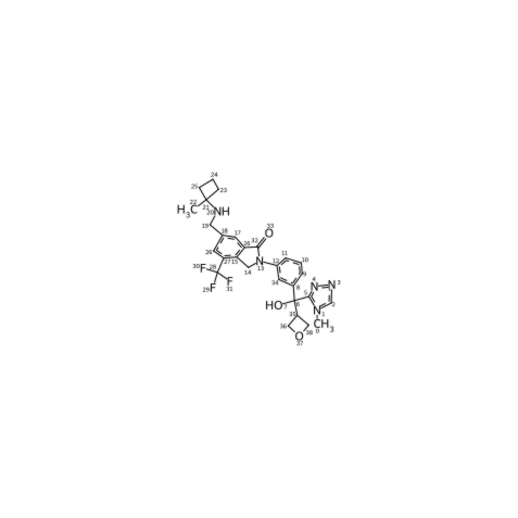 Cn1cnnc1C(O)(c1cccc(N2Cc3c(cc(CNC4(C)CCC4)cc3C(F)(F)F)C2=O)c1)C1COC1